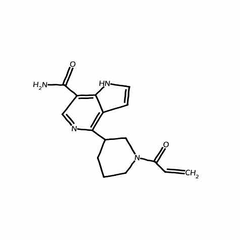 C=CC(=O)N1CCCC(c2ncc(C(N)=O)c3[nH]ccc23)C1